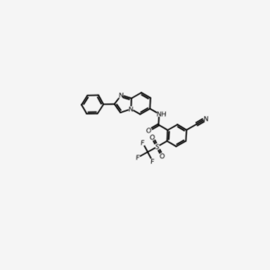 N#Cc1ccc(S(=O)(=O)C(F)(F)F)c(C(=O)Nc2ccc3nc(-c4ccccc4)cn3c2)c1